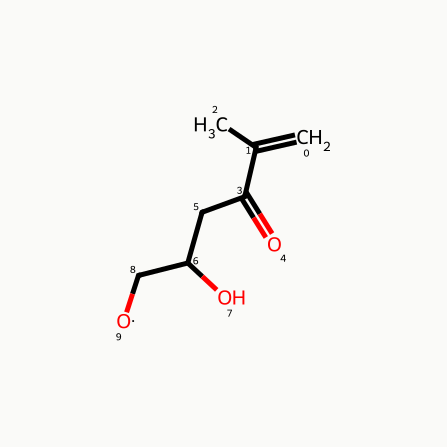 C=C(C)C(=O)CC(O)C[O]